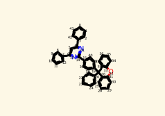 c1ccc(-c2cc(-c3ccccc3)nc(-c3ccc(C4(c5ccccc5)c5ccccc5Oc5ccccc54)cc3)n2)cc1